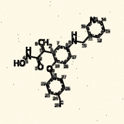 C=C(C(=O)NO)c1cc(NCc2cccnc2)ccc1Oc1ccc(F)cc1